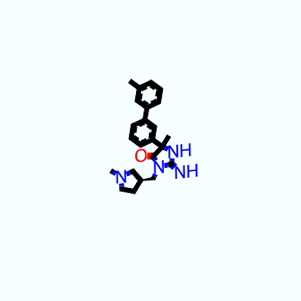 Cc1cccc(-c2cccc(C3(C)NC(=N)N(C[C@H]4CCN(C)C4)C3=O)c2)c1